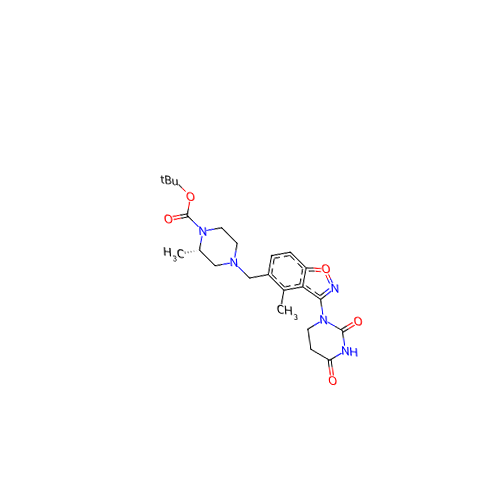 Cc1c(CN2CCN(C(=O)OC(C)(C)C)[C@@H](C)C2)ccc2onc(N3CCC(=O)NC3=O)c12